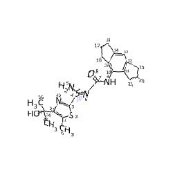 Cc1sc(/S(N)=N/C(=O)Nc2c3c(cc4c2CCC4)CCC3)nc1C(C)(C)O